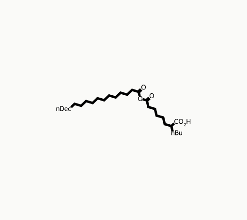 CCCCCCCCCCCCCCCCCCCCCC(=O)OC(=O)CCCCCC(CCCC)C(=O)O